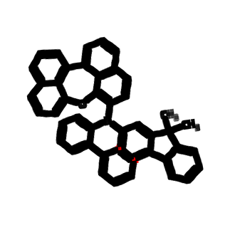 CC1(C)c2ccccc2-c2ccc(N(c3ccccc3-c3ccccc3)c3ccc4cccc5c6cccc7cccc(oc3c45)c76)cc21